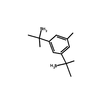 BC(C)(C)c1cc(C)cc(C(B)(C)C)c1